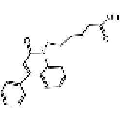 O=C(O)CCCCCn1c(=O)cc(-c2ccccc2)c2ccccc21